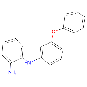 Nc1ccccc1Nc1cccc(Oc2ccccc2)c1